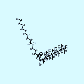 CCCCCCCCCCCCCCCC(=O)OC(C)C(F)(F)C(F)(F)C(F)(F)C(F)(F)C(F)(F)C(F)(F)C(F)(F)C(F)(F)F